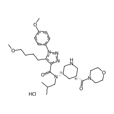 COCCCCc1c(C(=O)N(CC(C)C)[C@@H]2CNC[C@H](C(=O)N3CCOCC3)C2)nnn1-c1ccc(OC)cc1.Cl